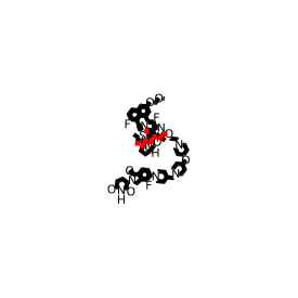 COCOc1cc(-c2ncc3c(N4C[C@H]5CC[C@@H](C4)N5C(=O)OC(C)(C)C)nc(OCCN4CCC(OC5CCN(CC6CCN(c7ccc8c(c7F)CN(C7CCC(=O)NC7=O)C8=O)CC6)CC5)CC4)nc3c2F)c2c(C#C[Si](C(C)C)(C(C)C)C(C)C)c(F)ccc2c1